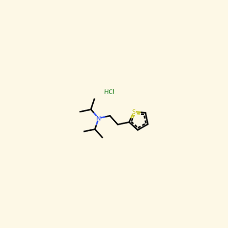 CC(C)N(CCc1cccs1)C(C)C.Cl